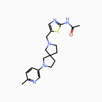 CC(=O)Nc1ncc(CN2CCC3(CCN(c4ccc(C)nc4)C3)C2)s1